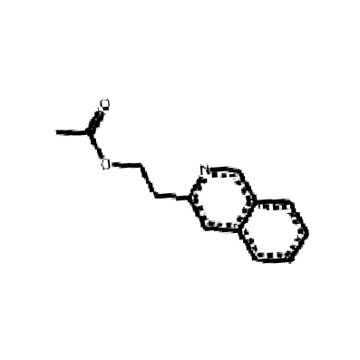 CC(=O)OCCc1cc2ccccc2cn1